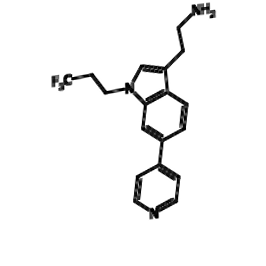 NCCc1cn(CCC(F)(F)F)c2cc(-c3ccncc3)ccc12